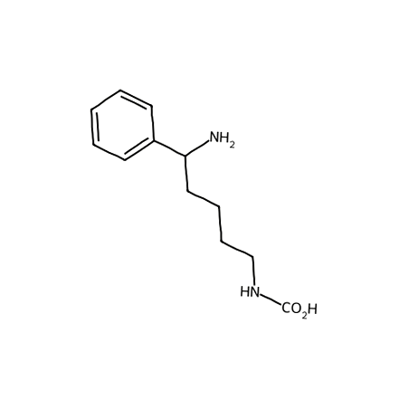 NC(CCCCNC(=O)O)c1ccccc1